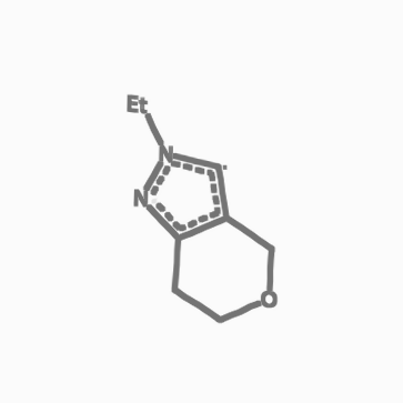 CCn1[c]c2c(n1)CCOC2